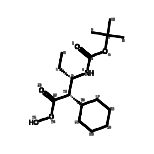 CC[C@H](NC(=O)OC(C)(C)C)[C@@H](C(=O)OO)C1CCCCC1